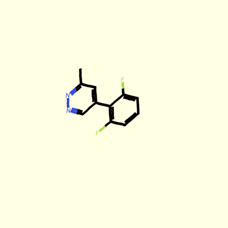 Cc1cc(-c2c(F)cccc2F)cnn1